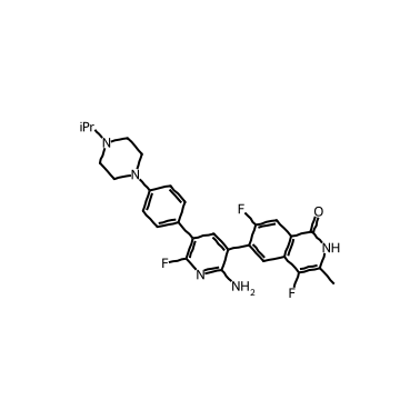 Cc1[nH]c(=O)c2cc(F)c(-c3cc(-c4ccc(N5CCN(C(C)C)CC5)cc4)c(F)nc3N)cc2c1F